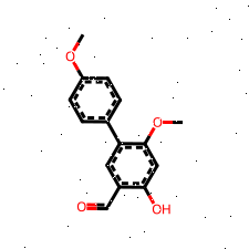 COc1ccc(-c2cc(C=O)c(O)cc2OC)cc1